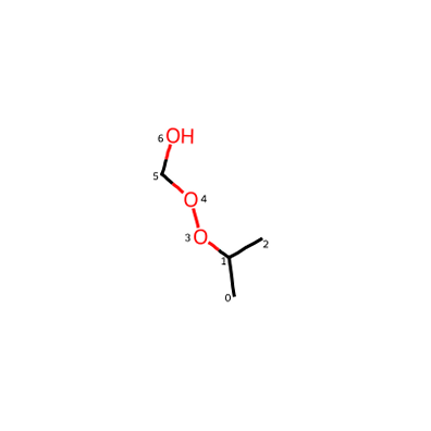 CC(C)OOCO